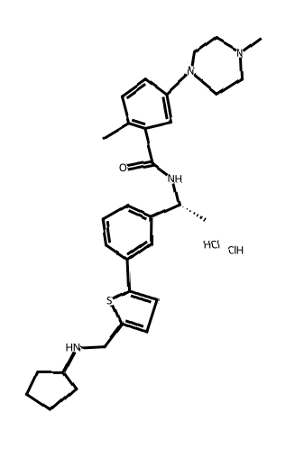 Cc1ccc(N2CCN(C)CC2)cc1C(=O)N[C@H](C)c1cccc(-c2ccc(CNC3CCCC3)s2)c1.Cl.Cl